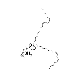 BC(C)(CC(C)(C)C1COC(CCCCCCCC/C=C\C/C=C\CCCCC)(CCCCCCCC/C=C\C/C=C\CCCCC)O1)N(C)C